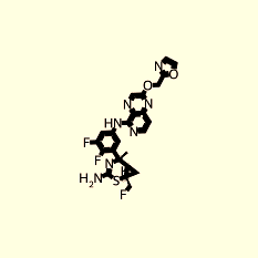 C[C@]1(c2cc(Nc3nccc4nc(OCc5ncco5)cnc34)cc(F)c2F)N=C(N)S[C@@]2(CF)C[C@H]21